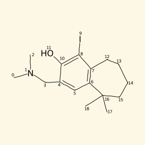 CN(C)Cc1cc2c(c(I)c1O)CCCCC2(C)C